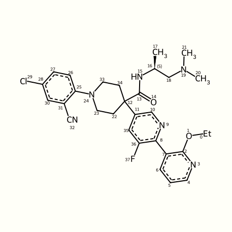 CCOc1ncccc1-c1ncc(C2(C(=O)N[C@@H](C)CN(C)C)CCN(c3ccc(Cl)cc3C#N)CC2)cc1F